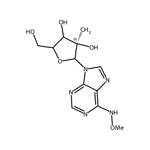 CONc1ncnc2c1ncn2C1OC(CO)C(O)[C@@]1(C)O